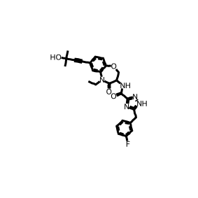 CCN1C(=O)C(NC(=O)c2n[nH]c(Cc3cccc(F)c3)n2)COc2ccc(C#CC(C)(C)O)cc21